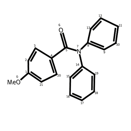 COc1ccc(C(=O)N(c2ccccc2)c2ccccc2)cc1